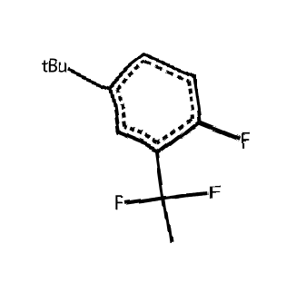 CC(C)(C)c1ccc(F)c(C(C)(F)F)c1